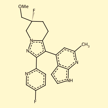 COC[C@@]1(F)CCc2c(-c3cc(C)nc4[nH]ccc34)c(-c3ccc(F)cn3)nn2C1